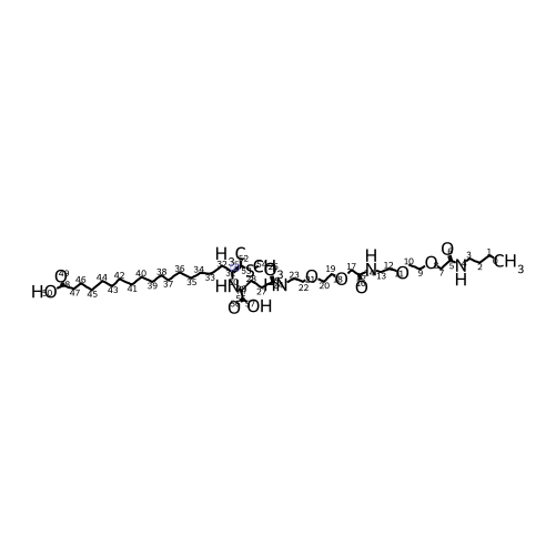 CCCCNC(=O)COCCOCCNC(=O)COCCOCCNC(=O)CC[C@H](N/C(CCCCCCCCCCCCCCCCC(=O)O)=C(/C)SC)C(=O)O